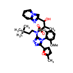 COc1cccc(OC)c1-n1c(-c2ccc(C)o2)nnc1N(CC[Si](C)(C)C)S(=O)(=O)C(C)C(O)c1cn2ccccc2n1